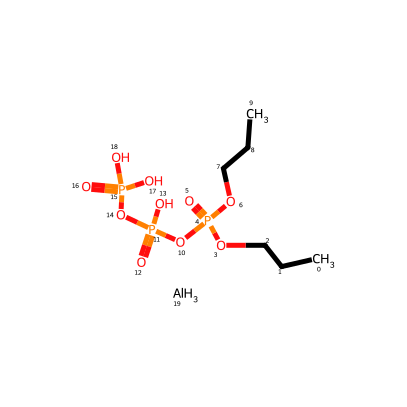 CCCOP(=O)(OCCC)OP(=O)(O)OP(=O)(O)O.[AlH3]